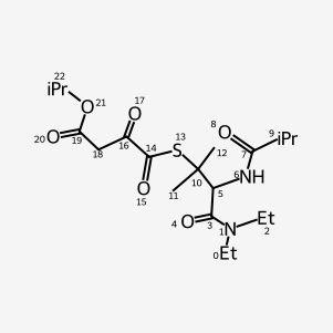 CCN(CC)C(=O)C(NC(=O)C(C)C)C(C)(C)SC(=O)C(=O)CC(=O)OC(C)C